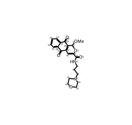 COC1OC(C(=O)NCCCN2CCOCC2)=CC2=C1C(=O)c1ccccc1C2=O